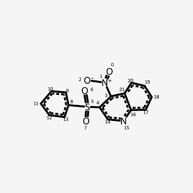 O=[N+]([O-])c1c(S(=O)(=O)c2ccccc2)cnc2ccccc12